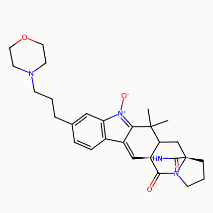 CC1(C)C2=[N+]([O-])c3cc(CCCN4CCOCC4)ccc3C2=C[C@@]23NC(=O)[C@]4(CCCN4C2=O)CC13